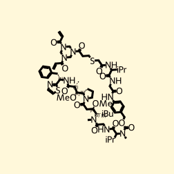 C=CC(=O)N1CN(C(=O)C=C)CN(C(=O)CCSCC(=O)NC(C(=O)NCC(=O)Nc2ccc(COC(=O)N(C)C(C(=O)NCC(=O)N(C)[C@@H]([C@@H](C)CC)[C@@H](CC(=O)N3CCC[C@H]3[C@H](OC)[C@@H](C)C(=O)N[C@@H](Cc3ccccc3)c3nccs3)OC)C(C)C)cc2)C(C)C)C1